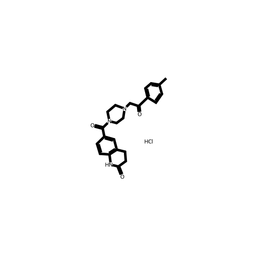 Cc1ccc(C(=O)CN2CCN(C(=O)c3ccc4c(c3)CCC(=O)N4)CC2)cc1.Cl